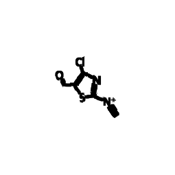 C#[N+]c1nc(Cl)c(C=O)s1